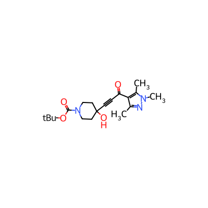 Cc1nn(C)c(C)c1C(=O)C#CC1(O)CCN(C(=O)OC(C)(C)C)CC1